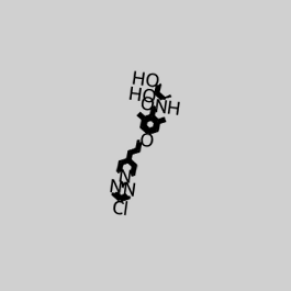 Cc1cc(OCCCC2CCN(c3ncc(Cl)cn3)CC2)cc(C)c1C(=O)N[C@H](C)[C@H](O)CO